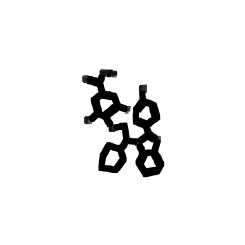 COC(=O)c1cc(F)c(OCC(C2CCCCC2)n2c(-c3ccc(Cl)cc3)nc3ccccc32)c(Cl)c1